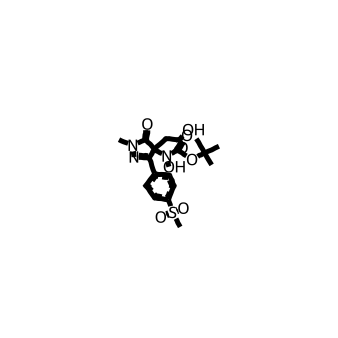 CN1N=C(c2ccc(S(C)(=O)=O)cc2)C(CC(=O)O)(N(O)C(=O)OC(C)(C)C)C1=O